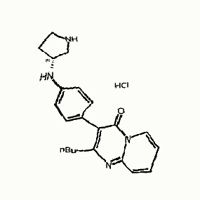 CCCCc1nc2ccccn2c(=O)c1-c1ccc(N[C@@H]2CCNC2)cc1.Cl